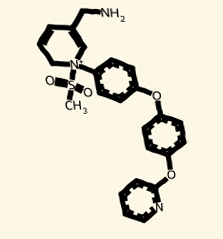 CS(=O)(=O)[N+]1(c2ccc(Oc3ccc(Oc4ccccn4)cc3)cc2)C=C(CN)C=CC1